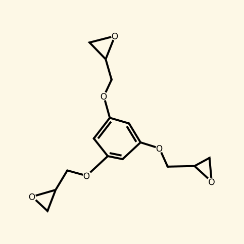 c1c(OCC2CO2)cc(OCC2CO2)cc1OCC1CO1